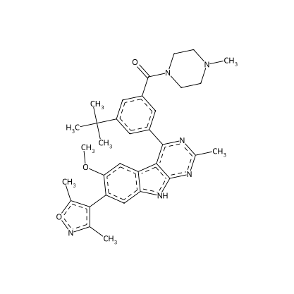 COc1cc2c(cc1-c1c(C)noc1C)[nH]c1nc(C)nc(-c3cc(C(=O)N4CCN(C)CC4)cc(C(C)(C)C)c3)c12